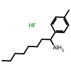 CCCCCCC[CH]([AlH2])c1ccc(C)cc1.F